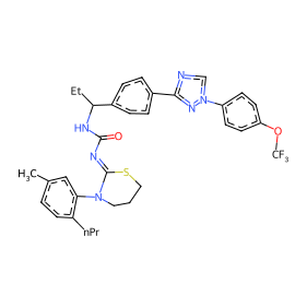 CCCc1ccc(C)cc1N1CCCS/C1=N\C(=O)NC(CC)c1ccc(-c2ncn(-c3ccc(OC(F)(F)F)cc3)n2)cc1